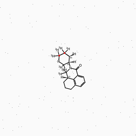 [2H]C1([2H])[C@H]2CCCc3cccc(c32)C(=O)N1[C@@H]1C([2H])([2H])N2CC[C@]1([2H])C([2H])([2H])C2([2H])[2H]